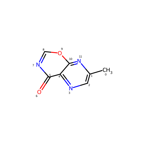 Cc1cnc2c(=O)ncoc2n1